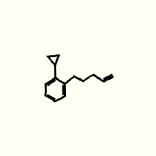 C=CCCCc1ccccc1C1CC1